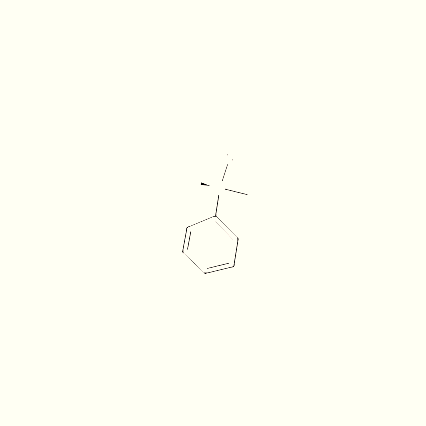 [BH3-][P@+](C)(N)c1ccccc1